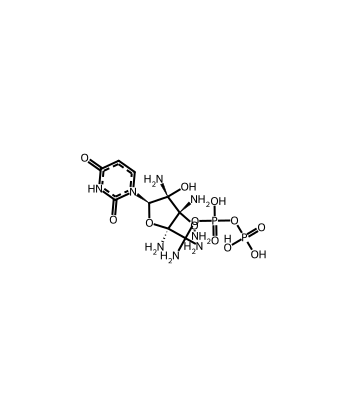 NO[C@@]1(N)[C@@](N)(O)[C@H](n2ccc(=O)[nH]c2=O)O[C@]1(N)C(N)(N)OP(=O)(O)OP(=O)(O)O